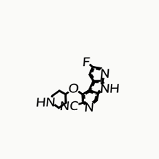 N#Cc1ncc2[nH]c3ncc(F)cc3c2c1OC1CCNCC1